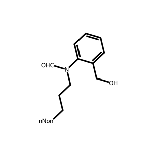 CCCCCCCCCCCCN(C=O)c1ccccc1CO